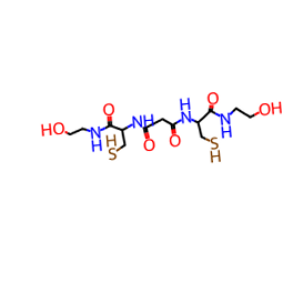 O=C(CC(=O)NC(CS)C(=O)NCCO)NC(CS)C(=O)NCCO